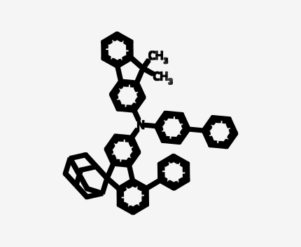 CC1(C)c2ccccc2-c2ccc(N(c3ccc(-c4ccccc4)cc3)c3ccc4c(c3)-c3c(-c5ccccc5)cccc3C43C4CC5CC(C4)CC3C5)cc21